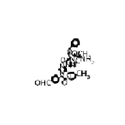 CC1CCN(C(=O)[C@@H](c2ccc(C=O)cc2)n2cnc(NC(=O)[C@@H](COCc3ccccc3)NC(=O)C(C)(C)N)c2)CC1